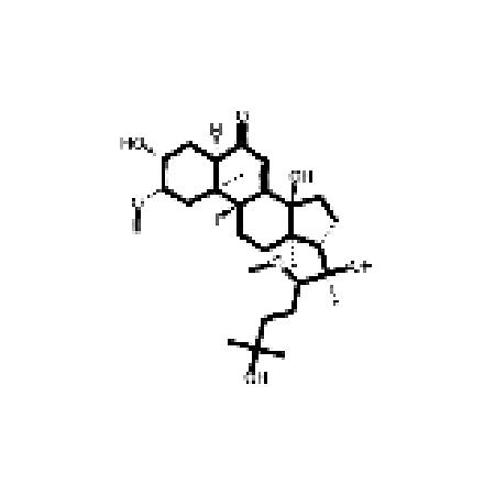 COC(CCC(C)(C)O)[C@](C)(O)[C@H]1CC[C@@]2(O)C3=CC(=O)[C@@H]4C[C@@H](O)[C@@H](OC)C[C@]4(C)[C@H]3CC[C@]12C